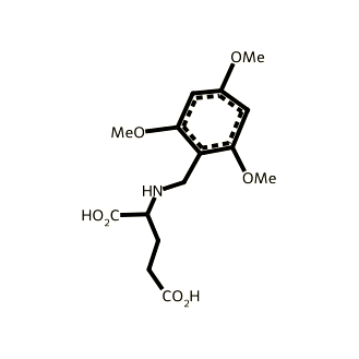 COc1cc(OC)c(CNC(CCC(=O)O)C(=O)O)c(OC)c1